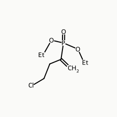 C=C(CCCl)P(=O)(OCC)OCC